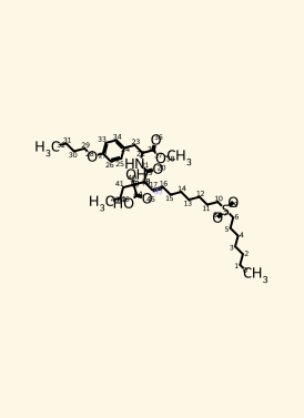 CCCCCCCS(=O)(=O)CCCCCC/C=C/[C@H](C(=O)NC(Cc1ccc(OCCCC)cc1)C(=O)OC)[C@@](O)(CCC)C(=O)O